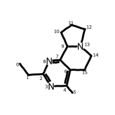 CCc1nc(C)c2c(n1)C1CCCN1CC2